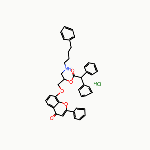 Cl.O=C(OC(CNCCCCc1ccccc1)COc1cccc2c(=O)cc(-c3ccccc3)oc12)C(c1ccccc1)c1ccccc1